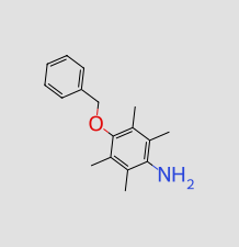 Cc1c(C)c(OCc2ccccc2)c(C)c(C)c1N